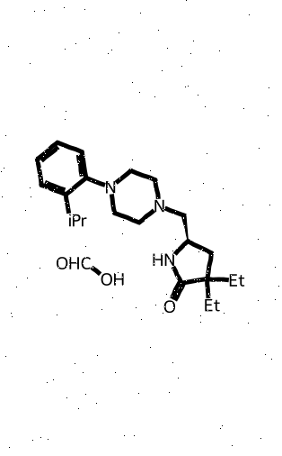 CCC1(CC)C[C@H](CN2CCN(c3ccccc3C(C)C)CC2)NC1=O.O=CO